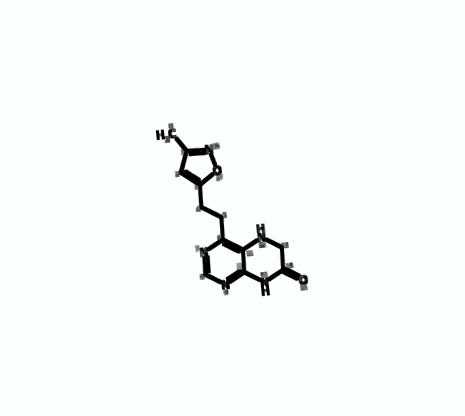 Cc1cc(CCc2ncnc3c2NCC(=O)N3)on1